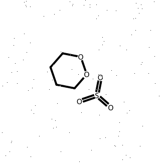 C1CCOOC1.O=S(=O)=O